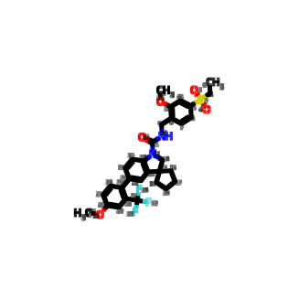 CCS(=O)(=O)c1ccc(CNC(=O)N2CC3(CCCC3)c3cc(-c4ccc(OC)cc4C(F)(F)F)ccc32)c(OC)c1